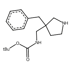 CC(C)(C)OC(=O)NCC1(Cc2ccccc2)CCNC1